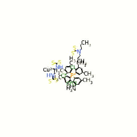 CCCN(CCC)C(=S)[S-].Cc1cc(C)c(Cl)c([P+](c2cc(C)cc(C)c2Cl)(c2cc(C)cc(C)c2Cl)c2cc(C)cc(C)c2Cl)c1.S=C([S-])NCCNC(=S)[S-].[Cu+2]